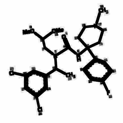 COC(CN(C(=O)NC1(c2ccc(F)cc2)CCN(C)CC1)C(C)c1cc(Cl)cc(Cl)c1)OC